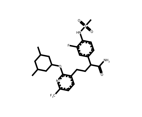 CC1CC(C)CC(Oc2nc(C(F)(F)F)ccc2CCC(C(N)=O)c2ccc(NS(C)(=O)=O)c(F)c2)C1